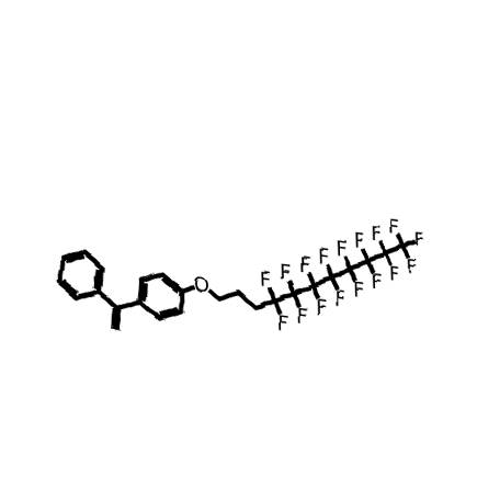 C=C(c1ccccc1)c1ccc(OCCCC(F)(F)C(F)(F)C(F)(F)C(F)(F)C(F)(F)C(F)(F)C(F)(F)C(F)(F)F)cc1